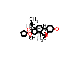 CC#C[C@]1(OC2(OC)CCCC2)CC[C@H]2[C@@H]3CCC4=CC(=O)CC[C@]4(COC)[C@H]3CC[C@@]21C